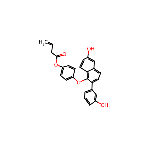 C=CCC(=O)Oc1ccc(Oc2c(-c3cccc(O)c3)ccc3cc(O)ccc23)cc1